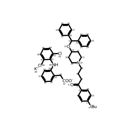 CC(C)(C)c1ccc(C(=O)CCCN2CCC(OC(c3ccccc3)c3ccccc3)CC2)cc1.O=C([O-])Cc1ccccc1Nc1c(Cl)cccc1Cl.[K+]